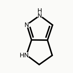 c1[nH]nc2c1CCN2